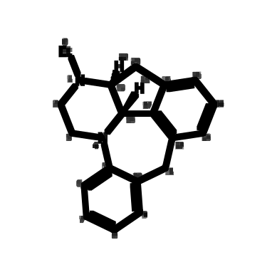 CCN1CCN2c3ccccc3Cc3cccc4c3[C@H]2[C@@H]1C4